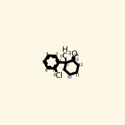 C[C@]1(c2ccccc2Cl)CCCCC1=O